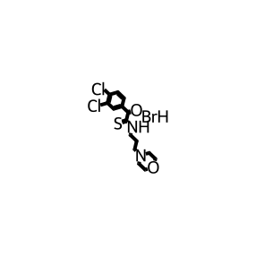 Br.O=C(C(=S)NCCCN1CCOCC1)c1ccc(Cl)c(Cl)c1